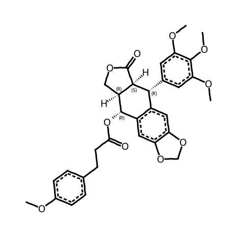 COc1ccc(CCC(=O)O[C@H]2c3cc4c(cc3[C@@H](c3cc(OC)c(OC)c(OC)c3)[C@@H]3C(=O)OC[C@@H]32)OCO4)cc1